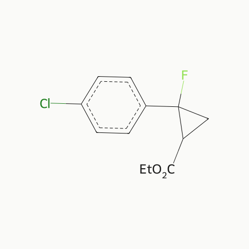 CCOC(=O)C1CC1(F)c1ccc(Cl)cc1